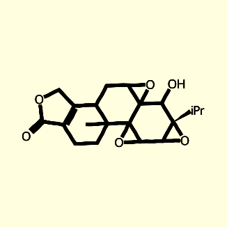 CC(C)[C@@]12OC1C1OC13C1(C)CCC4=C(COC4=O)C1CC1OC13C2O